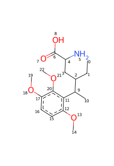 CCC(CC(N)C(=O)O)C(C)c1c(OC)ccc(OC)c1OC